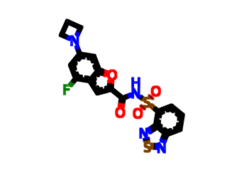 O=C(NS(=O)(=O)c1cccc2nsnc12)c1cc2c(F)cc(N3CCC3)cc2o1